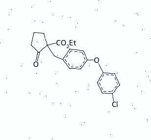 CCOC(=O)C1(Cc2ccc(Oc3ccc(Cl)cc3)cc2)CCCC1=O